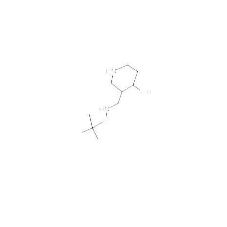 CC(C)(C)ONCC1CNCCC1O